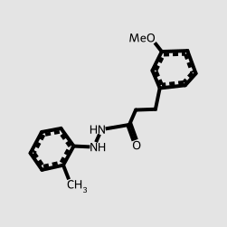 COc1cccc(CCC(=O)NNc2ccccc2C)c1